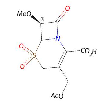 CO[C@H]1C(=O)N2C(C(=O)O)=C(COC(C)=O)CS(=O)(=O)C12